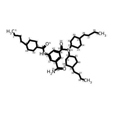 CCCCC1CCC(C(=O)Nc2cc(C(N)=O)cc(C(=O)N(C3CCC(CCCC)CC3)C3CCC(CCCC)CC3)c2)CC1